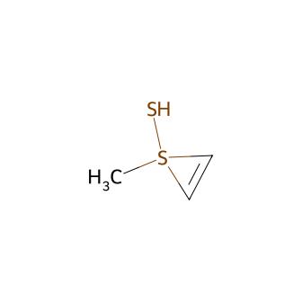 CS1(S)C=C1